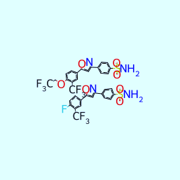 NS(=O)(=O)c1ccc(-c2cc(-c3ccc(F)c(C(F)(F)F)c3)on2)cc1.NS(=O)(=O)c1ccc(-c2cc(-c3ccc(OCC(F)(F)F)c(C(F)(F)F)c3)on2)cc1